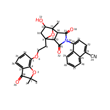 CC1(C)Oc2c(OCCC34CC(O)C(C)(O3)C3C(=O)N(c5ccc(C#N)c6ccccc56)C(=O)C34)cccc2C1=O